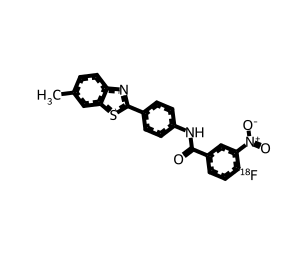 Cc1ccc2nc(-c3ccc(NC(=O)c4ccc([18F])c([N+](=O)[O-])c4)cc3)sc2c1